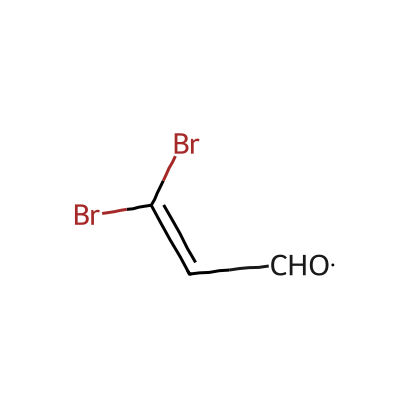 O=[C]C=C(Br)Br